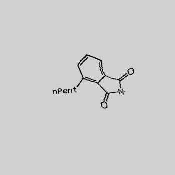 CCCCCc1cccc2c1C(=O)[N]C2=O